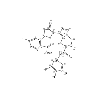 COC(=O)c1ccc(F)cc1C1CC(=O)N(c2cnn3c2CN(C(=O)Nc2cc(F)c(F)c(F)c2)[C@@H](C)C3)C1